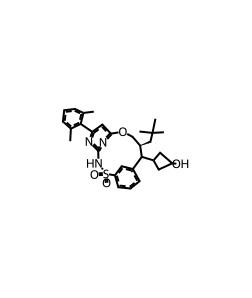 Cc1cccc(C)c1-c1cc2nc(n1)NS(=O)(=O)c1cccc(c1)C(C1CC(O)C1)[C@H](CC(C)(C)C)CO2